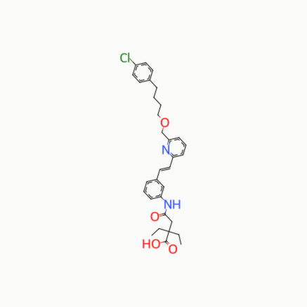 CCC(CC)(CC(=O)Nc1cccc(C=Cc2cccc(COCCCCc3ccc(Cl)cc3)n2)c1)C(=O)O